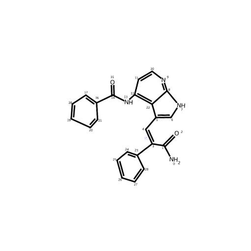 NC(=O)/C(=C\c1c[nH]c2nccc(NC(=O)c3ccccc3)c12)c1ccccc1